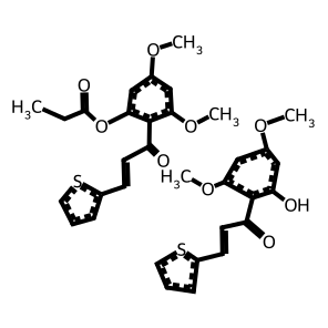 CCC(=O)Oc1cc(OC)cc(OC)c1C(=O)C=Cc1cccs1.COc1cc(O)c(C(=O)C=Cc2cccs2)c(OC)c1